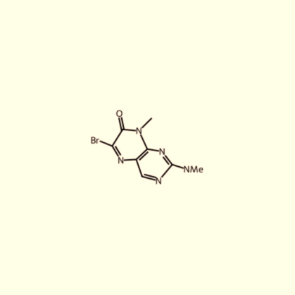 CNc1ncc2nc(Br)c(=O)n(C)c2n1